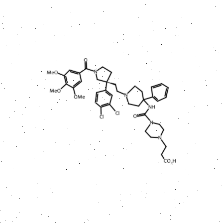 COc1cc(C(=O)N2CC[C@](CCN3CCC(NC(=O)N4CCN(CCC(=O)O)CC4)(c4ccccc4)CC3)(c3ccc(Cl)c(Cl)c3)C2)cc(OC)c1OC